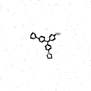 N=C1C=CC(=C(c2ccc(-c3ccccc3)cc2)c2ccc(N3CCCC3)cc2)C=C1